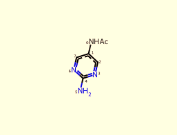 CC(=O)Nc1cnc(N)nc1